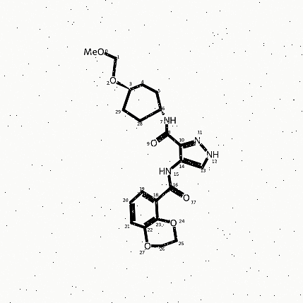 COCO[C@H]1CC[C@H](NC(=O)c2n[nH]cc2NC(=O)c2cccc3c2OCCO3)CC1